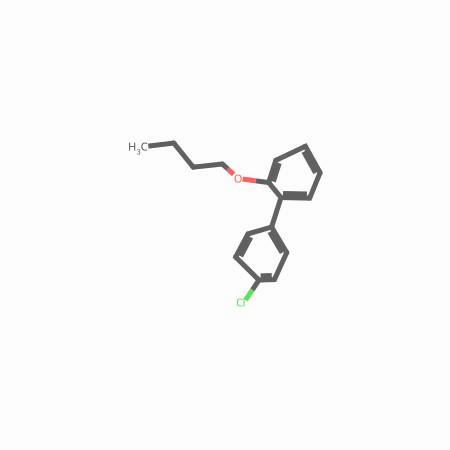 CCCCOc1ccccc1-c1ccc(Cl)cc1